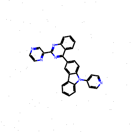 c1ccc2c(-c3ccc4c(c3)c3ccccc3n4-c3ccncc3)nc(-c3cnccn3)nc2c1